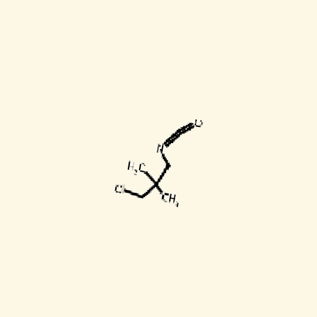 CC(C)(CCl)CN=C=O